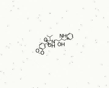 CC(C)C(NC[C@@H](O)[C@@H](N)Cc1ccccc1)S(=O)(=O)c1ccc2c(c1)OCO2